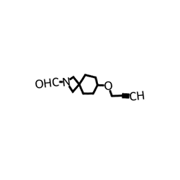 C#CCOC1CCC2(CC1)CN(C=O)C2